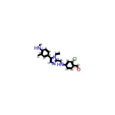 C=Cn1c(-c2ccc(NC)c(C)c2)cnc1CNc1ccc(C=O)c(Cl)c1